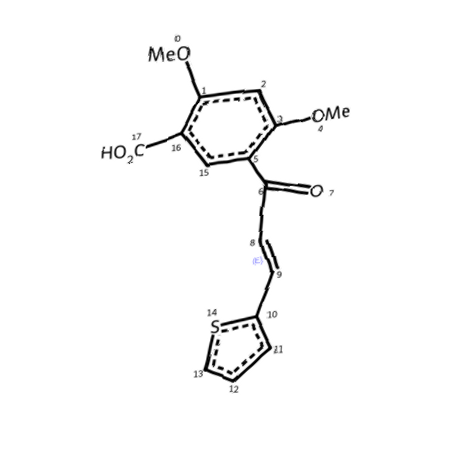 COc1cc(OC)c(C(=O)/C=C/c2cccs2)cc1C(=O)O